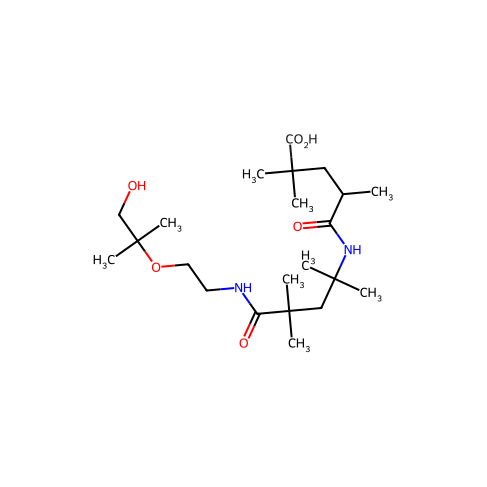 CC(CC(C)(C)C(=O)O)C(=O)NC(C)(C)CC(C)(C)C(=O)NCCOC(C)(C)CO